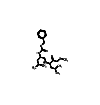 CSCC(=O)C(CC(C)C)NCC(CC(C)C)NC(=O)OCc1ccccc1